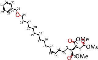 COC(=O)C/C(C(=O)OC)=C(/CCC/C=C\CCCCCCCCCCCOCc1ccccc1)C(=O)OC